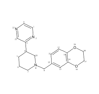 c1cnc(C2CCCN(Cc3ccc4c(c3)OCCO4)C2)cn1